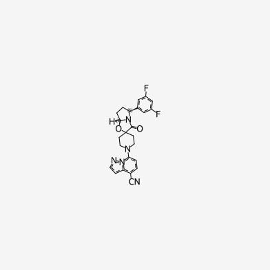 N#Cc1ccc(N2CCC3(CC2)O[C@@H]2CC[C@@H](c4cc(F)cc(F)c4)N2C3=O)n2nccc12